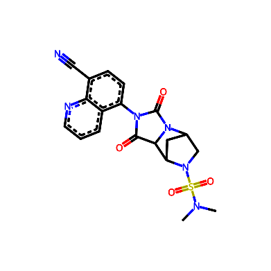 CN(C)S(=O)(=O)N1CC2CC1C1C(=O)N(c3ccc(C#N)c4ncccc34)C(=O)N21